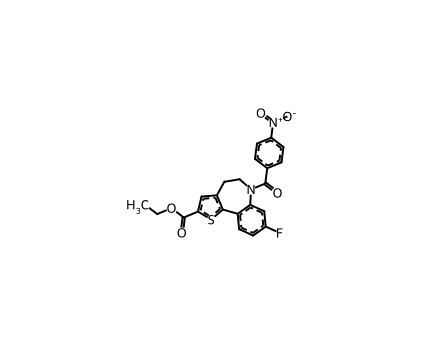 CCOC(=O)c1cc2c(s1)-c1ccc(F)cc1N(C(=O)c1ccc([N+](=O)[O-])cc1)CC2